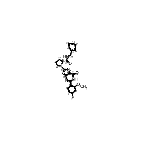 COc1cc(F)ccc1-c1nc2sc(N3CCC[C@@H]3C(=O)NCc3ccccc3)nc2c(=O)[nH]1